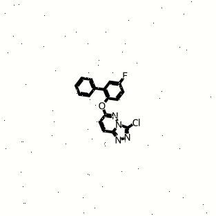 Fc1ccc(Oc2ccc3nnc(Cl)n3n2)c(-c2ccccc2)c1